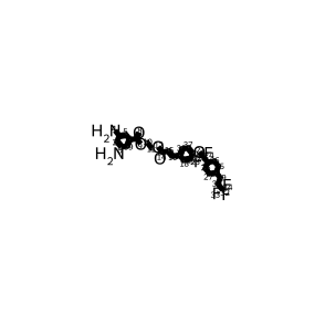 Nc1cc(N)cc(C(=O)OCCOC(=O)/C=C/c2ccc(OC(F)(F)C3CCC(CCC(F)(F)F)CC3)cc2)c1